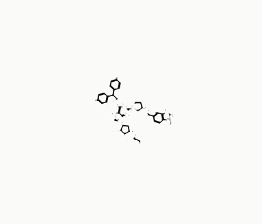 CCC(=O)N[C@H]1C[C@@H](n2cnc3c(NCC(c4ccc(O)cc4)c4ccc(O)cc4)nc(N4CC[C@@H](NC(=O)c5ccc6c(c5)nnn6C)C4)nc32)[C@H](O)[C@@H]1O.Cl